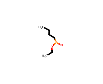 CCCCP(O)OCC